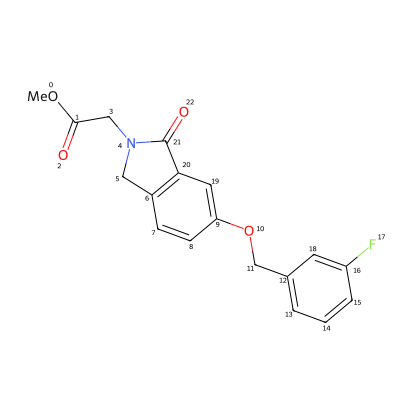 COC(=O)CN1Cc2ccc(OCc3cccc(F)c3)cc2C1=O